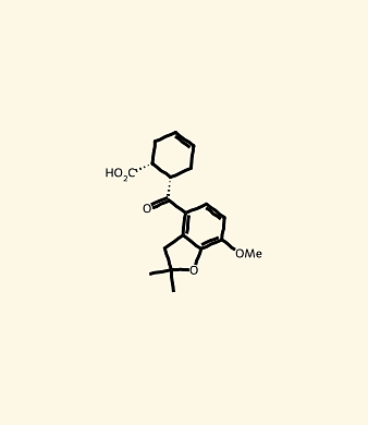 COc1ccc(C(=O)[C@H]2CC=CC[C@H]2C(=O)O)c2c1OC(C)(C)C2